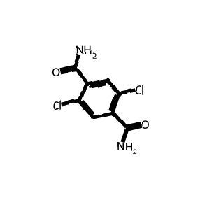 NC(=O)c1cc(Cl)c(C(N)=O)cc1Cl